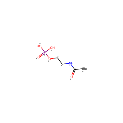 CC(C)(C)C(=O)NCCOP(=O)(O)O